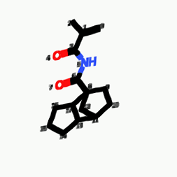 C=C(C)C(=O)NC(=O)C12CCC(C1)C1CCCC12